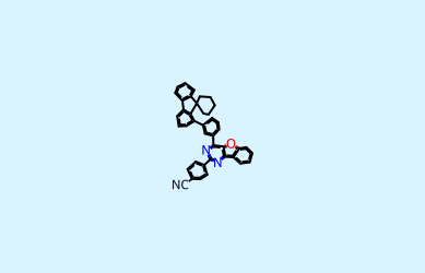 N#Cc1ccc(-c2nc(-c3cccc(-c4cccc5c4C4(CCCCC4)c4ccccc4-5)c3)c3oc4ccccc4c3n2)cc1